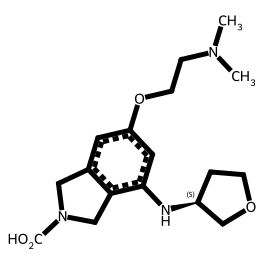 CN(C)CCOc1cc2c(c(N[C@H]3CCOC3)c1)CN(C(=O)O)C2